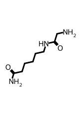 NCC(=O)NCCCCCC(N)=O